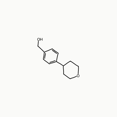 OCc1ccc(C2CCOCC2)cc1